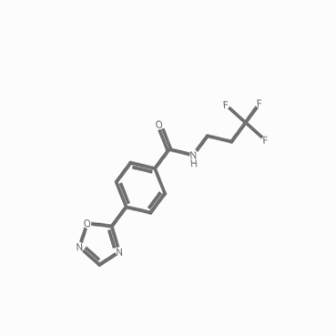 O=C(NCCC(F)(F)F)c1ccc(-c2ncno2)cc1